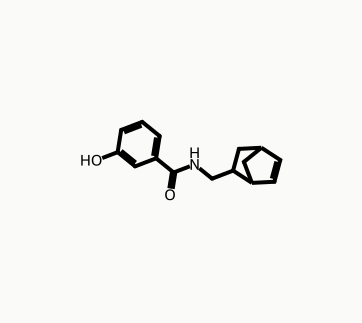 O=C(NCC1CC2C=CC1C2)c1cccc(O)c1